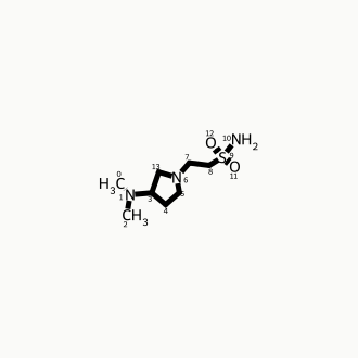 CN(C)C1CCN(CCS(N)(=O)=O)C1